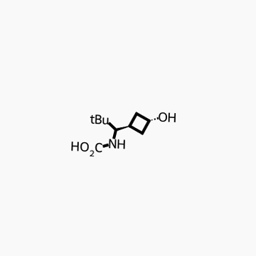 CC(C)(C)C(NC(=O)O)[C@H]1C[C@H](O)C1